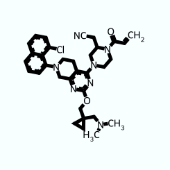 C=CC(=O)N1CCN(c2nc(OCC3(CN(C)C)CC3)nc3c2CCN(c2cccc4cccc(Cl)c24)C3)CC1CC#N